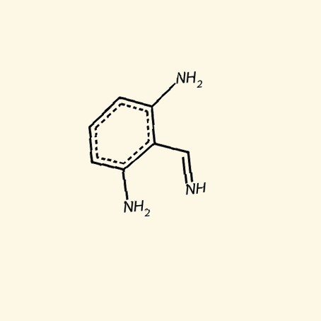 N=Cc1c(N)cccc1N